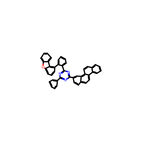 c1ccc(-c2nc(-c3ccc4ccc5c6ccccc6ccc5c4c3)nc(-c3ccccc3-c3cccc4oc5ccccc5c34)n2)cc1